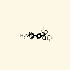 CC1(C)C(=O)Nc2cc(-c3cnc(N)nc3)ccc21